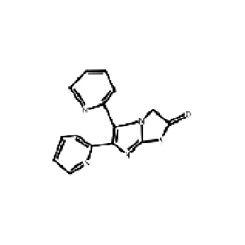 O=C1Cn2c(nc(-c3ccccn3)c2-c2ccccn2)S1